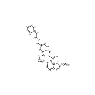 COc1ccc2nccc([C@@H](F)CCC3CCN(CCCCc4ccccc4)CC3CCC(=O)O)c2c1